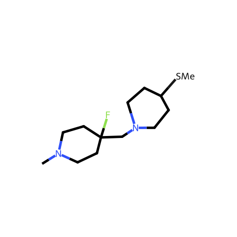 CSC1CCN(CC2(F)CCN(C)CC2)CC1